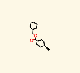 C#Cc1ccc(C(=O)OCc2ccccc2)cc1